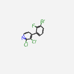 Fc1c(Br)cccc1-c1ccnc(Cl)c1Cl